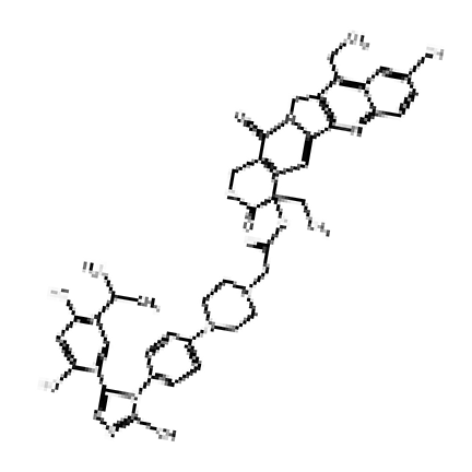 CCc1c2c(nc3ccc(O)cc13)-c1cc3c(c(=O)n1C2)COC(=O)C3(CC)OC(=O)CN1CCN(c2ccc(-n3c(O)nnc3-c3cc(C(C)C)c(O)cc3O)cc2)CC1